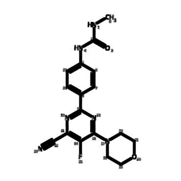 CNC(=O)Nc1ccc(-c2nc(C#N)c(F)c(N3CCOCC3)n2)cc1